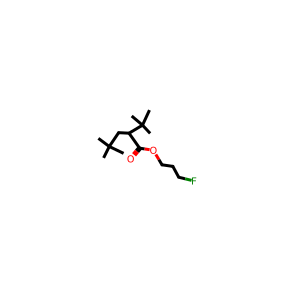 CC(C)(C)CC(C(=O)OCCCF)C(C)(C)C